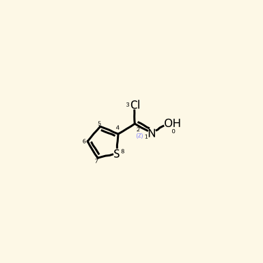 O/N=C(\Cl)c1cccs1